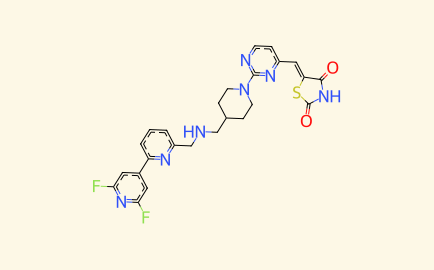 O=C1NC(=O)C(=Cc2ccnc(N3CCC(CNCc4cccc(-c5cc(F)nc(F)c5)n4)CC3)n2)S1